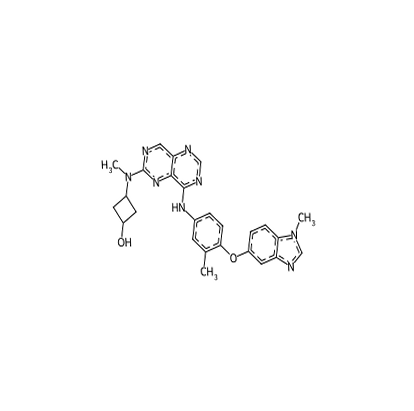 Cc1cc(Nc2ncnc3cnc(N(C)C4CC(O)C4)nc23)ccc1Oc1ccc2c(c1)ncn2C